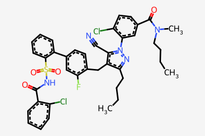 CCCCc1nn(-c2cc(C(=O)N(C)CCCC)ccc2Cl)c(C#N)c1Cc1ccc(-c2ccccc2S(=O)(=O)NC(=O)c2ccccc2Cl)cc1F